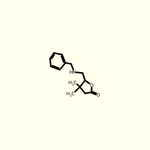 CC1(C)CC(=O)OC1CNCc1ccccc1